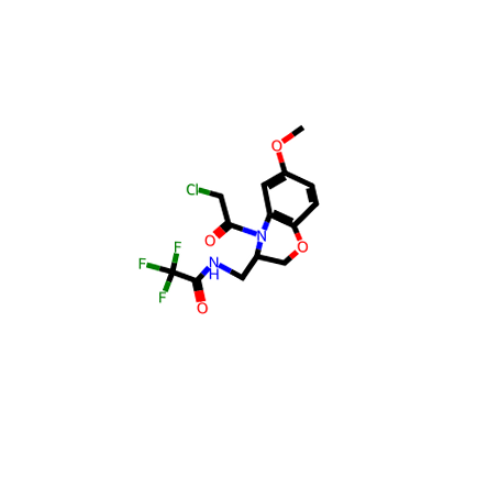 COc1ccc2c(c1)N(C(=O)CCl)C(CNC(=O)C(F)(F)F)CO2